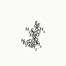 C=N/C(C(=O)Nc1ccc(F)c([C@]2(C)CO[C@@](C)(C(F)(F)F)C(N)=N2)n1)=C(Cl)\C=C(/C)OC(F)F